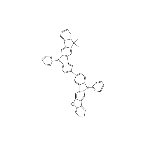 CC1(C)c2ccccc2-c2cc3c(cc21)c1cc(-c2ccc4c(c2)c2cc5oc6ccccc6c5cc2n4-c2ccccc2)ccc1n3-c1ccccc1